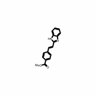 COC(=O)c1ccc(C=Cc2nc3ccccc3[nH]2)cc1